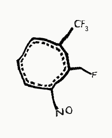 O=Nc1cccc(C(F)(F)F)c1F